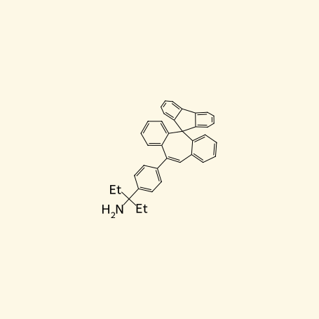 CCC(N)(CC)c1ccc(C2=Cc3ccccc3C3(c4ccccc42)c2ccccc2-c2ccccc23)cc1